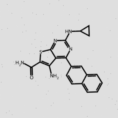 NC(=O)c1sc2nc(NC3CC3)nc(-c3ccc4ccccc4c3)c2c1N